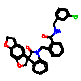 O=C(NCc1cccc(Cl)c1)c1ccccc1CN1C(=O)C2(COc3cc4c(cc32)CCO4)c2ccccc21